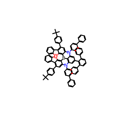 CC(C)(C)c1ccc(-c2cc3c(c4oc5ccccc5c24)B2c4c(cc(-c5c(-c6ccccc6)cccc5-c5ccccc5)cc4N(c4ccc(-c5ccccc5)cc4)c4cc(-c5ccc(C(C)(C)C)cc5)c5c(oc6ccccc65)c42)N3c2ccc(-c3ccccc3)cc2)cc1